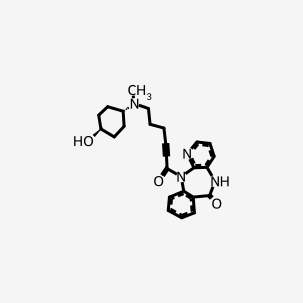 CN(CCCC#CC(=O)N1c2ccccc2C(=O)Nc2cccnc21)[C@H]1CC[C@H](O)CC1